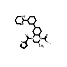 CC(=O)N1C2CCC(C3CCCC(C4NCCCN4)C3)CC2N(C(=O)c2ccco2)C[C@@H]1C